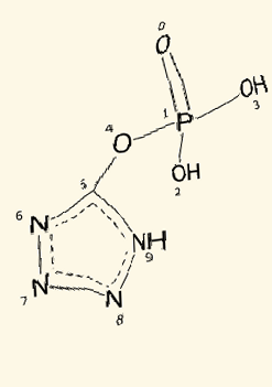 O=P(O)(O)Oc1nnn[nH]1